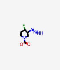 N=[N+]=NC1CN(C(=O)[O-])CCC1F